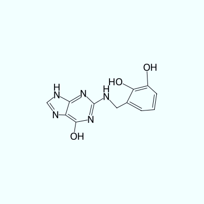 Oc1cccc(CNc2nc(O)c3nc[nH]c3n2)c1O